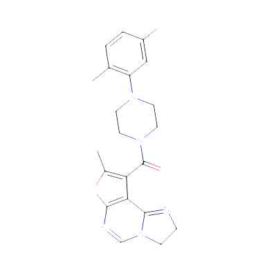 Cc1ccc(Cl)cc1N1CCN(C(=O)c2c(C)oc3c2C2=NCCN2C=N3)CC1